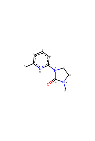 Cc1cccc(N2CCN(C)C2=O)n1